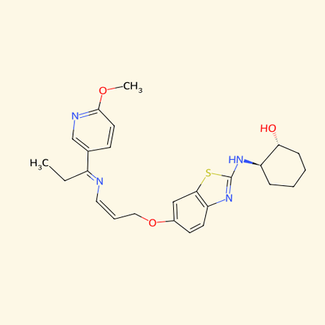 CC/C(=N\C=C/COc1ccc2nc(N[C@@H]3CCCC[C@H]3O)sc2c1)c1ccc(OC)nc1